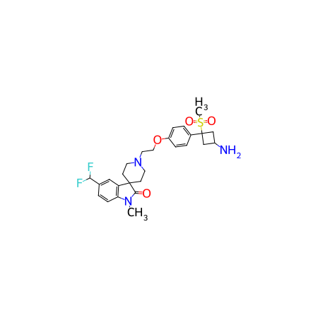 CN1C(=O)C2(CCN(CCOc3ccc(C4(S(C)(=O)=O)CC(N)C4)cc3)CC2)c2cc(C(F)F)ccc21